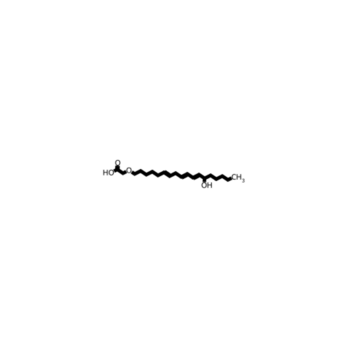 CCCCCC(O)C=CC=CCC=CCCCCCOCC(=O)O